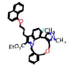 CCOC(=O)c1c(CCCOc2cccc3ccccc23)c2ccc(F)c3c2n1Cc1ccccc1COCc1c-3c(C)nn1C